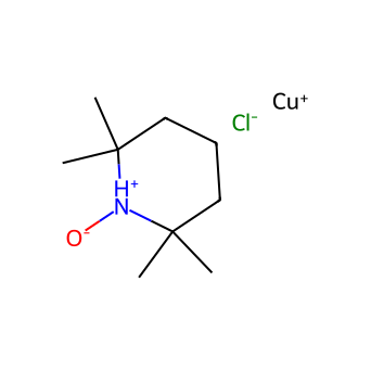 CC1(C)CCCC(C)(C)[NH+]1[O-].[Cl-].[Cu+]